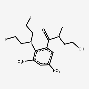 CN(CCO)C(=O)c1cc([N+](=O)[O-])cc([N+](=O)[O-])c1N(CCI)CCI